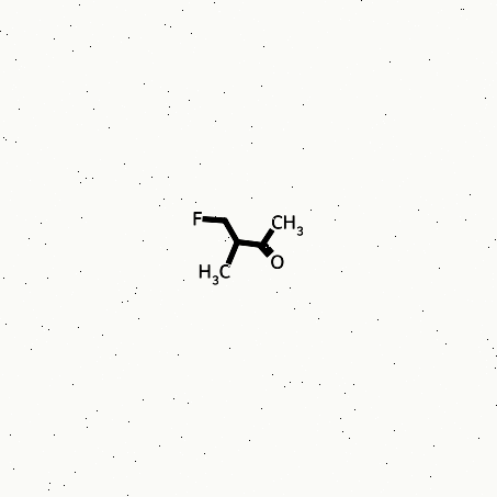 CC(=O)C(C)CF